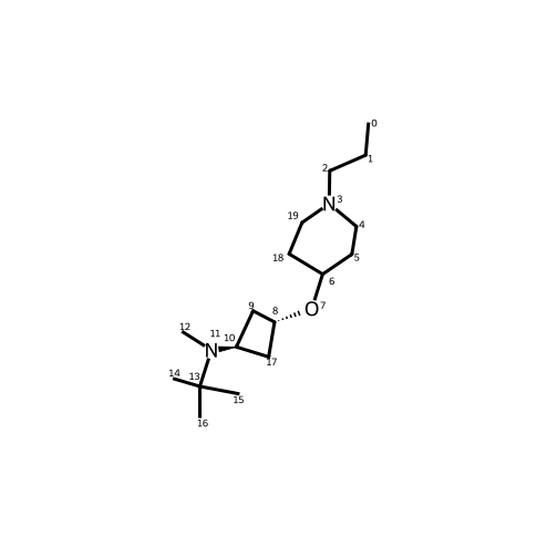 CCCN1CCC(O[C@H]2C[C@H](N(C)C(C)(C)C)C2)CC1